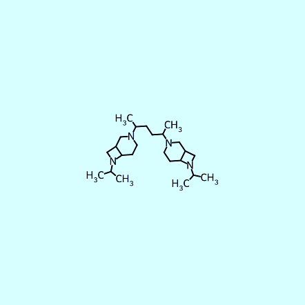 CC(CCC(C)N1CCC2C(C1)CN2C(C)C)N1CCC2C(C1)CN2C(C)C